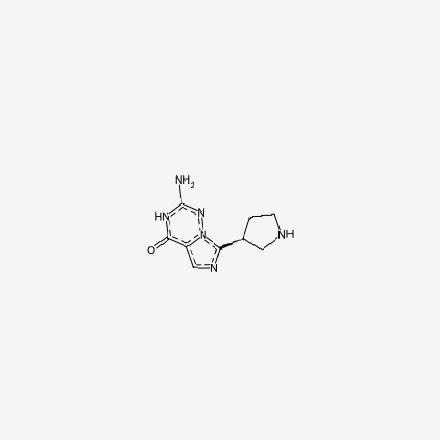 Nc1nn2c([C@H]3CCNC3)ncc2c(=O)[nH]1